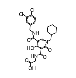 O=C(O)CNC(=O)c1c(O)c(C(=O)NCc2ccc(Cl)c(Cl)c2)cn(CC2CCCCC2)c1=O